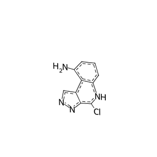 Nc1cccc2[nH]c(Cl)c3nncc-3c12